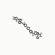 CN(C)C(=O)c1cc2cnc(Nc3ccc(N4CCC(N5CCC(F)(CCc6cccc7c(N8CCC(=O)NC8=O)nn(C)c67)CC5)CC4)cn3)nc2n1C1CCCC1